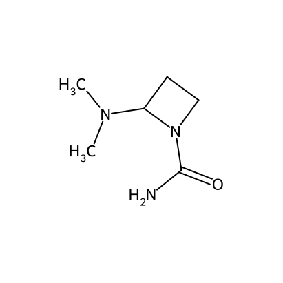 CN(C)C1CCN1C(N)=O